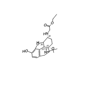 CCOC(=O)CN[C@@H]1CC[C@@]2(OC)C3Cc4ccc(O)c5c4[C@@]2(CCN3C)[C@H]1O5